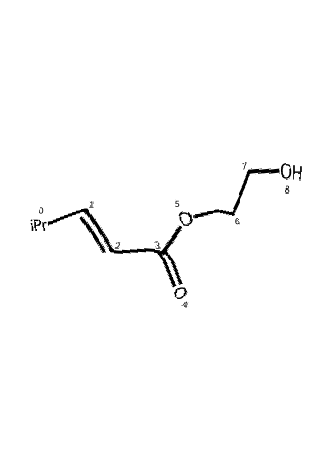 CC(C)C=CC(=O)OCCO